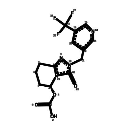 O=C(O)O[C@H]1CCCc2nn(Cc3cncc(C(F)(F)F)c3)c(=O)n21